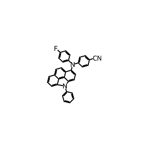 N#Cc1ccc(N(c2ccc(F)cc2)c2ccc3c4c2ccc2cccc(c24)n3-c2ccccc2)cc1